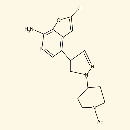 CC(=O)N1CCC(N2CC(c3cnc(N)c4oc(Cl)cc34)C=N2)CC1